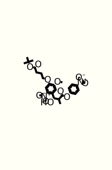 COc1cc(C(O)C(C)C(=O)Oc2ccc([N+](=O)[O-])cc2)c([N+](=O)[O-])cc1OCCCC(=O)OC(C)(C)C